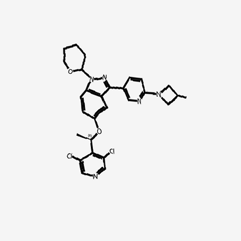 CC1CN(c2ccc(-c3nn(C4CCCCO4)c4ccc(O[C@H](C)c5c(Cl)cncc5Cl)cc34)cn2)C1